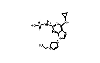 Nc1nc(NC2CC2)c2ncn([C@H]3C=C[C@@H](CO)C3)c2n1.O=S(=O)(O)O